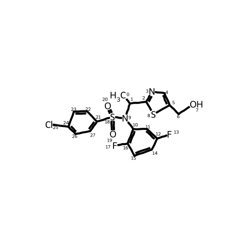 CC(c1ncc(CO)s1)N(c1cc(F)ccc1F)S(=O)(=O)c1ccc(Cl)cc1